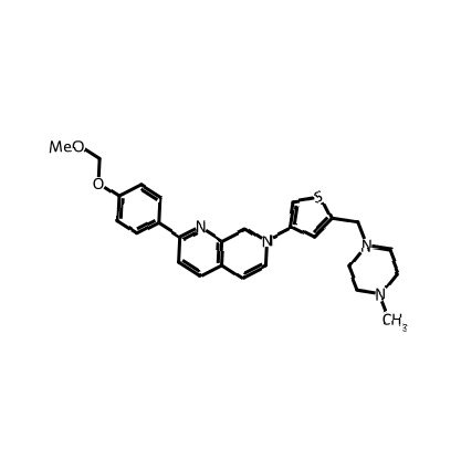 COCOc1ccc(-c2ccc3c(n2)CN(c2csc(CN4CCN(C)CC4)c2)C=C3)cc1